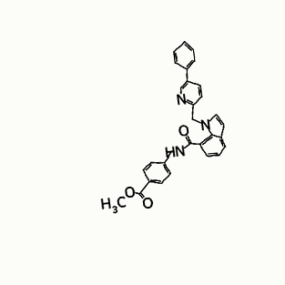 COC(=O)c1ccc(CNC(=O)c2cccc3ccn(Cc4ccc(-c5ccccc5)cn4)c23)cc1